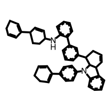 C1=CC(c2ccc(N3c4ccccc4C4C=CCC(c5cccc(-c6ccccc6NC6C=CC(C7=CCCC=C7)CC6)c5)C43)cc2)=CCC1